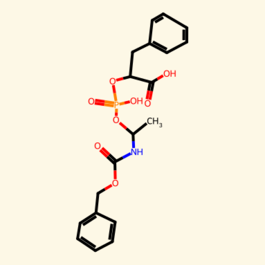 CC(NC(=O)OCc1ccccc1)OP(=O)(O)OC(Cc1ccccc1)C(=O)O